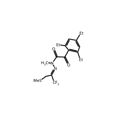 CCc1cc(CC)c(C(=O)C(=O)N(C)N=C(CSC)C(F)(F)F)c(CC)c1